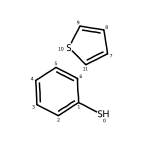 Sc1ccccc1.c1ccsc1